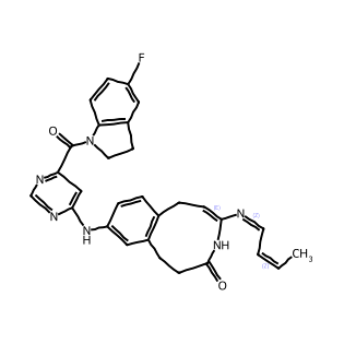 C\C=C/C=N\C1=C\Cc2ccc(Nc3cc(C(=O)N4CCc5cc(F)ccc54)ncn3)cc2CCC(=O)N1